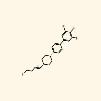 FCC/C=C/[C@H]1CC[C@H](c2ccc(-c3cc(F)c(F)c(F)c3)cc2)CC1